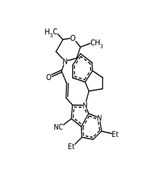 CCc1cc(CC)c2c(C#N)c(C=CC(=O)N3CC(C)OC(C)C3)n(C3CCc4ccccc43)c2n1